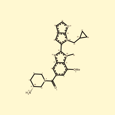 COc1cc(C(=O)N2CCC[C@@H](N)C2)cc2nc(-c3cc4ccoc4n3CC3CC3)n(C)c12